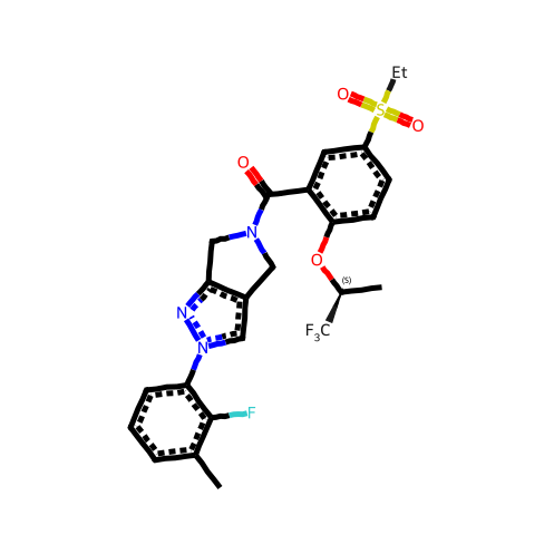 CCS(=O)(=O)c1ccc(O[C@@H](C)C(F)(F)F)c(C(=O)N2Cc3cn(-c4cccc(C)c4F)nc3C2)c1